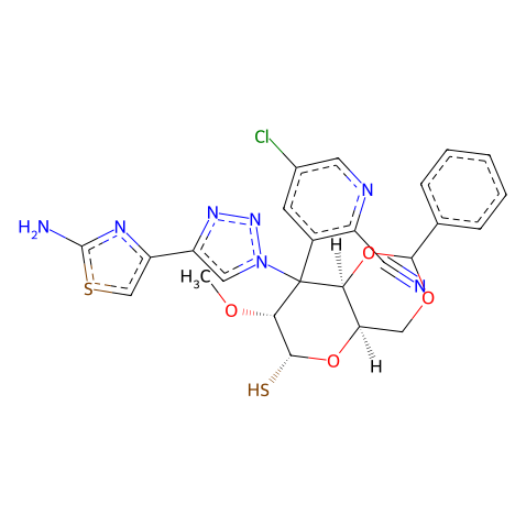 CO[C@H]1[C@@H](S)O[C@@H]2COC(c3ccccc3)O[C@@H]2C1(c1cc(Cl)cnc1C#N)n1cc(-c2csc(N)n2)nn1